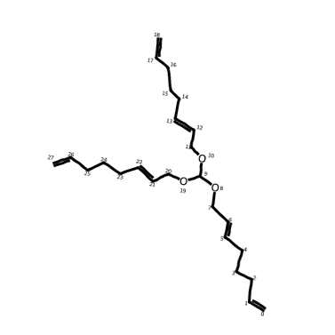 C=CCCCC=CCOC(OCC=CCCCC=C)OCC=CCCCC=C